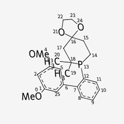 COc1cc(OC)cc(-c2ccccc2P2CCC3(CC2(C)C)OCCO3)c1